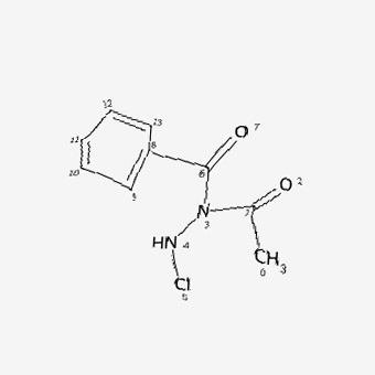 CC(=O)N(NCl)C(=O)c1ccccc1